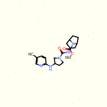 CC(C)(C)OC(=O)N1C2CCC1CC(NC(=O)N1CCC(Nc3ccc(C#N)cn3)C1)C2